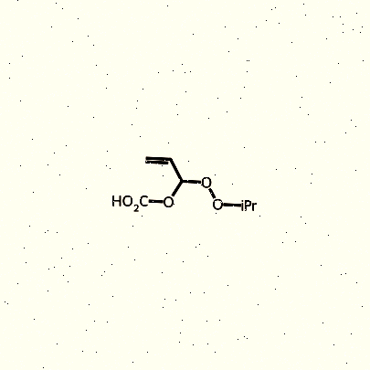 C=CC(OOC(C)C)OC(=O)O